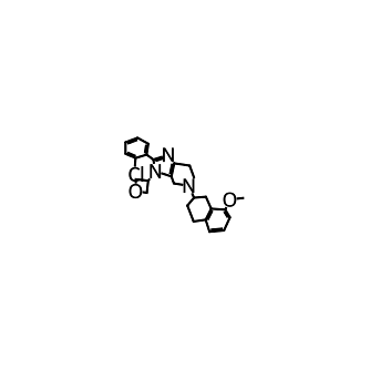 COc1cccc2c1CC(N1CCc3nc(-c4ccccc4Cl)n(C4COC4)c3C1)CC2